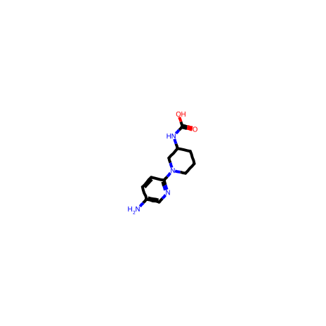 Nc1ccc(N2CCCC(NC(=O)O)C2)nc1